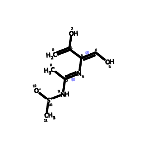 C=C(O)C(=C/O)/N=C(\C)N[S+](C)[O-]